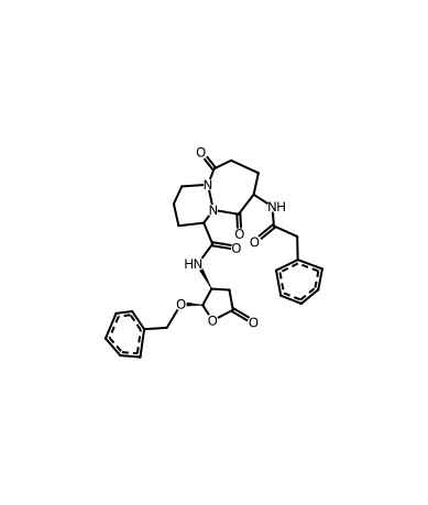 O=C(Cc1ccccc1)NC1CCC(=O)N2CCCC(C(=O)N[C@H]3CC(=O)O[C@H]3OCc3ccccc3)N2C1=O